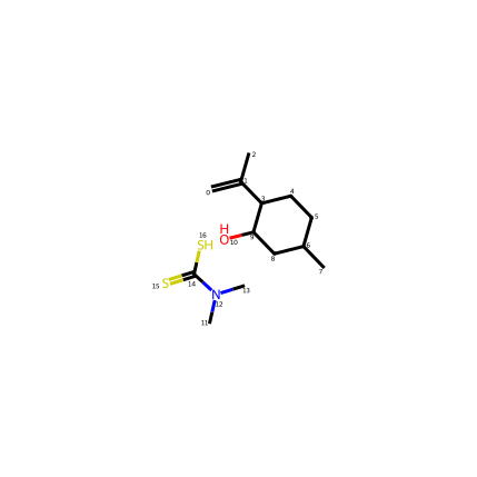 C=C(C)C1CCC(C)CC1O.CN(C)C(=S)S